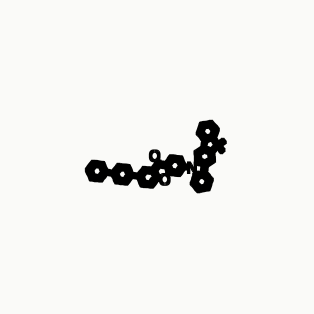 CC1(C)c2ccccc2-c2cc3c(cc21)c1ccccc1n3-c1ccc2c(=O)c3cc(-c4ccc(-c5ccccc5)cc4)ccc3oc2c1